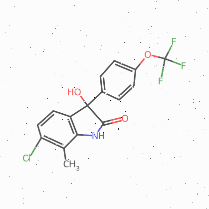 Cc1c(Cl)ccc2c1NC(=O)C2(O)c1ccc(OC(F)(F)F)cc1